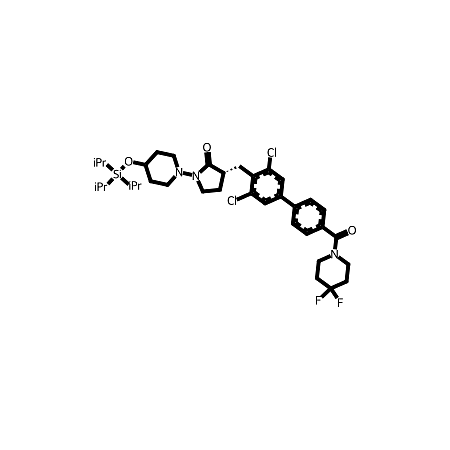 CC(C)[Si](OC1CCN(N2CC[C@@H](Cc3c(Cl)cc(-c4ccc(C(=O)N5CCC(F)(F)CC5)cc4)cc3Cl)C2=O)CC1)(C(C)C)C(C)C